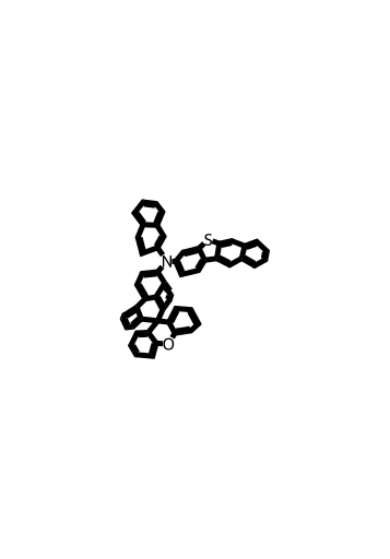 c1ccc2c(c1)Oc1ccccc1C21c2ccccc2-c2ccc(N(c3ccc4ccccc4c3)c3ccc4c(c3)sc3cc5ccccc5cc34)c3cccc1c23